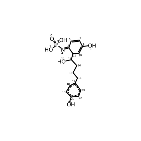 O=P(O)(O)/N=C1\C=CC(O)=CC1C(O)CCCc1ccc(O)cc1